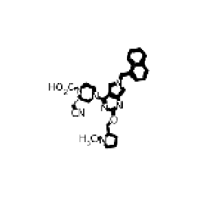 CN1CCCC1COc1nc2c(c(N3CCN(C(=O)O)[C@@H](CC#N)C3)n1)CN(Cc1cccc3ccccc13)C2